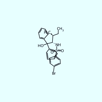 CC[C@H](C)[C@H](NS(=O)(=O)c1ccc(Br)cc1)C(O)(c1ccccc1)c1ccccc1